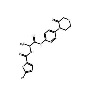 CC(NC(=O)c1ccc(Cl)s1)C(=O)Nc1ccc(N2CCOCC2=O)cc1